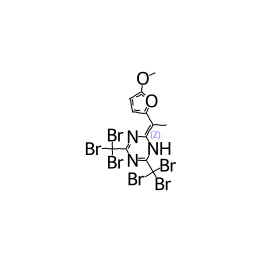 COc1ccc(/C(C)=C2\N=C(C(Br)(Br)Br)N=C(C(Br)(Br)Br)N2)o1